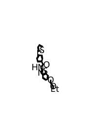 CCOCOc1ccc2nc(NC(=O)c3ccc([I+]c4cccs4)cc3)sc2c1